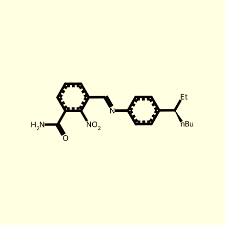 CCCC[C@H](CC)c1ccc(/N=C/c2cccc(C(N)=O)c2[N+](=O)[O-])cc1